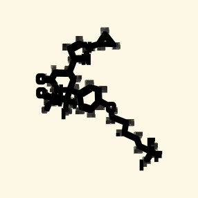 CS(=O)(=O)N1C(=O)C=C(c2ccn(C3CC3)n2)CC1(c1ccc(OCCCCCC(F)(F)F)cc1)C(F)(F)F